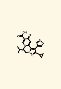 CC(C)[C@@H]1Cn2nc(C3CC3)c(-c3cnsc3)c2-c2cc(=O)c(C(=O)O)cn21